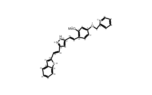 COc1cc(OCc2ccccn2)ccc1C=Cc1cc(C=Cc2cc3ccccc3s2)n[nH]1